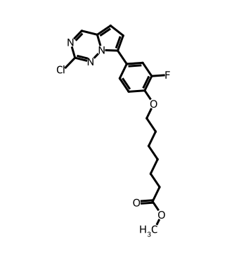 COC(=O)CCCCCCOc1ccc(-c2ccc3cnc(Cl)nn23)cc1F